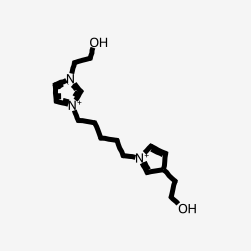 OCCC1C=C[N+](CCCCC[n+]2ccn(CCO)c2)=C1